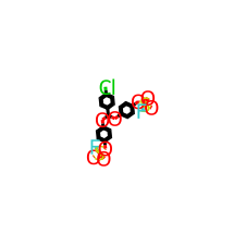 O=S(=O)(F)Oc1ccc(OC(Oc2ccc(OS(=O)(=O)F)cc2)c2ccc(Cl)cc2)cc1